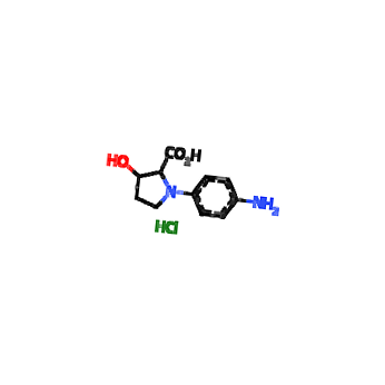 Cl.Nc1ccc(N2CCC(O)C2C(=O)O)cc1